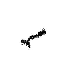 CCCc1cn(CCCc2ccc(COC3CCN(C(=O)OC(C)(C)C)CC3)cc2)c(-c2cc3sccc3n2C)n1